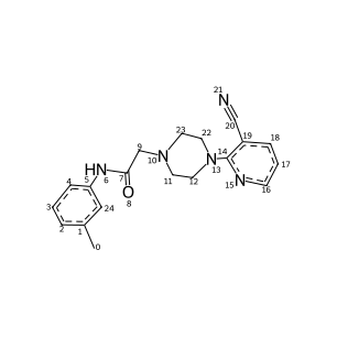 Cc1cccc(NC(=O)CN2CCN(c3ncccc3C#N)CC2)c1